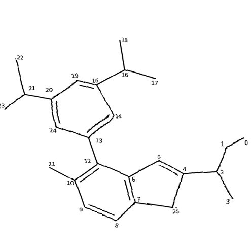 CCC(C)C1=Cc2c(ccc(C)c2-c2cc(C(C)C)cc(C(C)C)c2)[CH]1